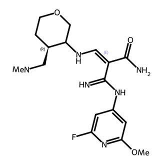 CNC[C@H]1CCOCC1N/C=C(\C(=N)Nc1cc(F)nc(OC)c1)C(N)=O